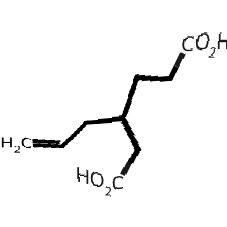 C=CCC(CCC(=O)O)CC(=O)O